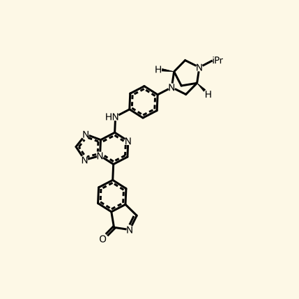 CC(C)N1C[C@@H]2C[C@H]1CN2c1ccc(Nc2ncc(-c3ccc4c(c3)C=NC4=O)n3ncnc23)cc1